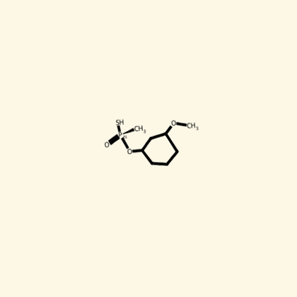 COC1CCCC(O[P@](C)(=O)S)C1